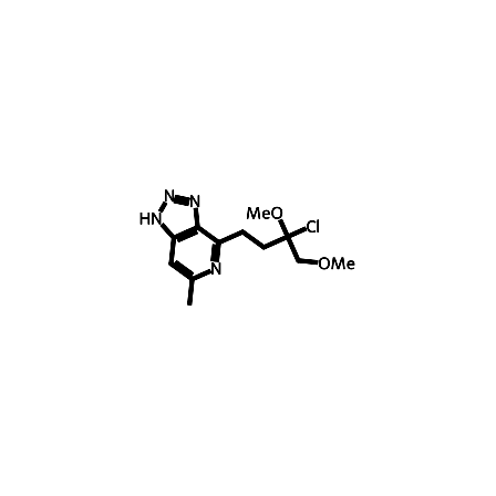 COCC(Cl)(CCc1nc(C)cc2[nH]nnc12)OC